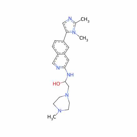 Cc1ncc(-c2ccc3cnc(NC(O)CN4CCN(C)CC4)cc3c2)n1C